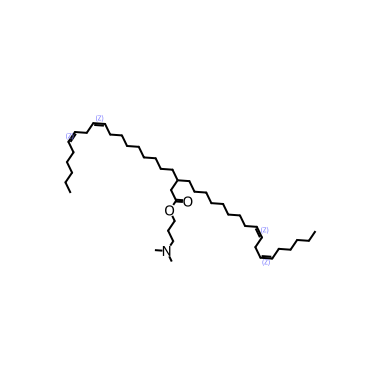 CCCCC/C=C\C/C=C\CCCCCCCCC(CCCCCCCC/C=C\C/C=C\CCCCC)CC(=O)OCCCN(C)C